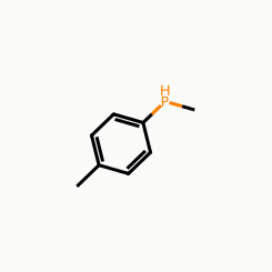 CPc1ccc(C)cc1